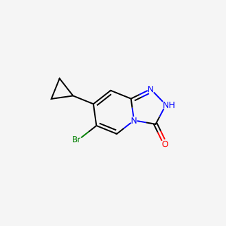 O=c1[nH]nc2cc(C3CC3)c(Br)cn12